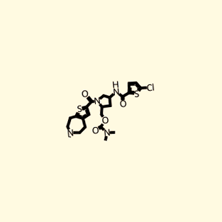 CN1CCc2cc(C(=O)N3CC(NC(=O)c4ccc(Cl)s4)CC3COC(=O)N(C)C)sc2CC1